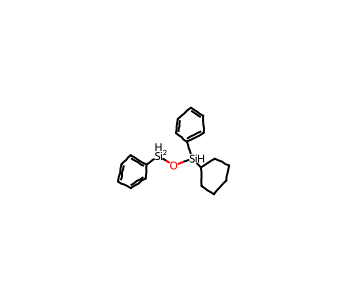 c1ccc([SiH2]O[SiH](c2ccccc2)C2CCCCC2)cc1